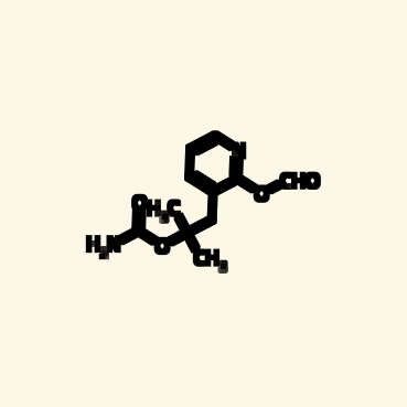 CC(C)(Cc1cccnc1OC=O)OC(N)=O